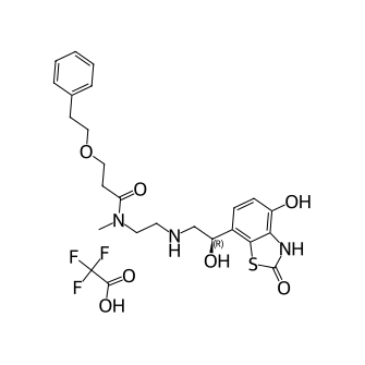 CN(CCNC[C@H](O)c1ccc(O)c2[nH]c(=O)sc12)C(=O)CCOCCc1ccccc1.O=C(O)C(F)(F)F